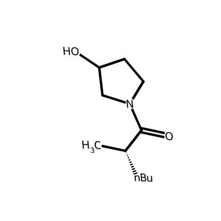 CCCC[C@H](C)C(=O)N1CCC(O)C1